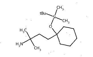 CC(C)(N)CCC1(O[Si](C)(C)C(C)(C)C)CCCCC1